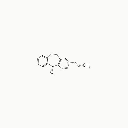 C=CCc1ccc2c(c1)CCc1ccccc1C2=O